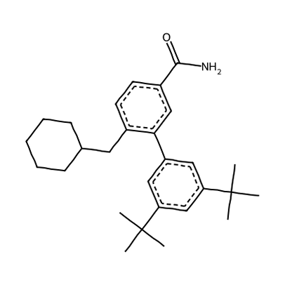 CC(C)(C)c1cc(-c2cc(C(N)=O)ccc2CC2CCCCC2)cc(C(C)(C)C)c1